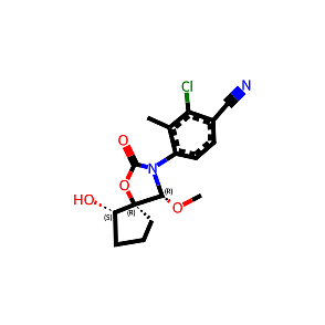 CO[C@H]1N(c2ccc(C#N)c(Cl)c2C)C(=O)O[C@@]12CCC[C@@H]2O